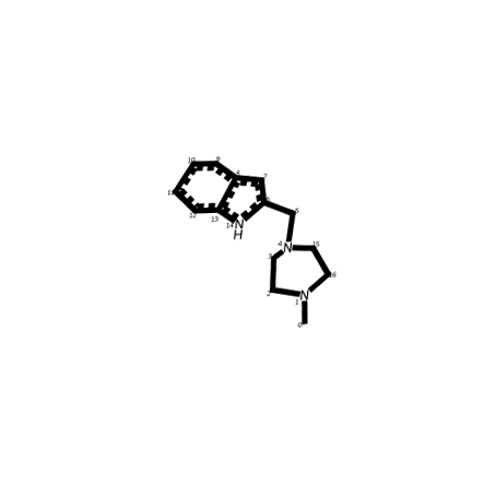 CN1CCN(Cc2cc3ccccc3[nH]2)CC1